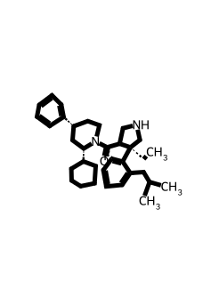 CC[C@@]1(c2c(F)cccc2CC(C)C)CNCC1C(=O)N1CC[C@@H](c2ccccc2)C[C@H]1C1CCCCC1